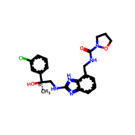 C[C@@](O)(CNc1nc2cccc(CNC(=O)N3CCCO3)c2[nH]1)c1cccc(Cl)c1